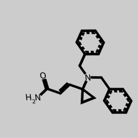 NC(=O)C=CC1(N(Cc2ccccc2)Cc2ccccc2)CC1